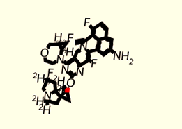 [2H]C1([2H])CC2(CC2)[C@@]2(C([2H])([2H])Oc3nc(N4CCOC[C@H]5[C@H](F)[C@H]54)c4cnc(-c5cc(N)cc6ccc(F)c(C#C)c56)c(F)c4n3)C[C@@]([2H])(F)CN12